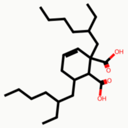 CCCCC(CC)CC1CC=CC(CC(CC)CCCC)(C(=O)O)C1C(=O)O